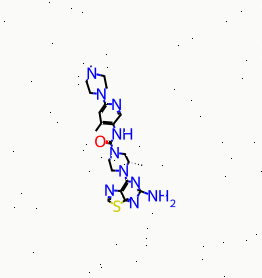 Cc1cc(N2CCN(C)CC2)ncc1NC(=O)N1CCN(c2nc(N)nc3scnc23)[C@@H](C)C1